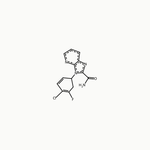 NC(=O)c1nc2cccnc2n1C1C=CC(Cl)=C(F)C1